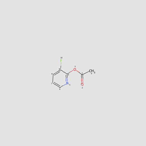 CC(=O)Oc1ncccc1F